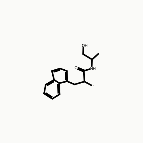 [CH2]C(Cc1cccc2ccccc12)C(=O)NC(C)CO